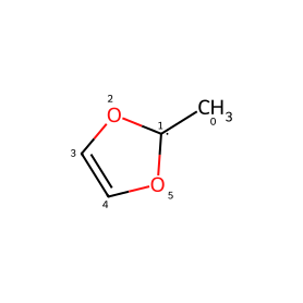 C[C]1OC=CO1